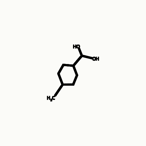 CC1CCC(C(O)O)CC1